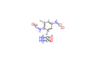 Cc1cc(N=C=O)cc(C)c1N=C=O.N=C=O.N=C=O